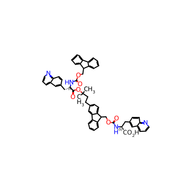 CC(C)(CCc1ccc2c(c1)-c1ccccc1C2COC(=O)N[C@@H](Cc1ccc2ncccc2c1)C(=O)O)OC(=O)[C@H](Cc1ccc2ncccc2c1)NC(=O)OCC1c2ccccc2-c2ccccc21